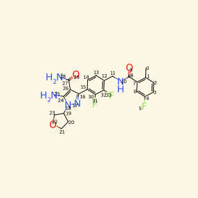 Cc1ccc(F)cc1C(=O)NCc1ccc(-c2nn(C3CCOC3)c(N)c2C(N)=O)c(F)c1F